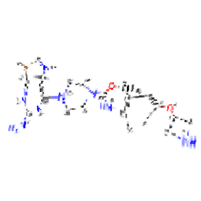 Cc1cc(OC2CNC2)ccc1NC(=O)N1CCN(c2nc(N)nc3scnc23)CC1